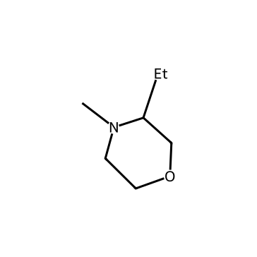 CCC1COCCN1C